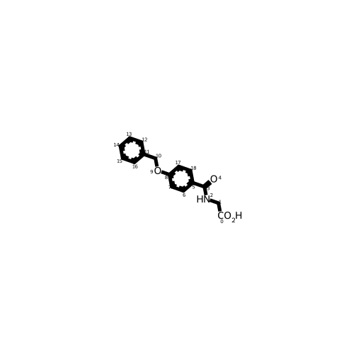 O=C(O)CNC(=O)c1ccc(OCc2ccccc2)cc1